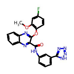 COc1cc(F)ccc1Oc1nc2ccccc2nc1C(=O)Nc1cccc(-c2nnn[nH]2)c1